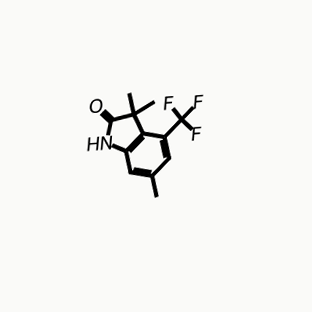 Cc1cc2c(c(C(F)(F)F)c1)C(C)(C)C(=O)N2